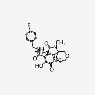 CN(C(=O)OC(C)(C)C)C12CCC(Cn3c1nc(C(=O)NCc1ccc(F)cc1)c(O)c3=O)OC2